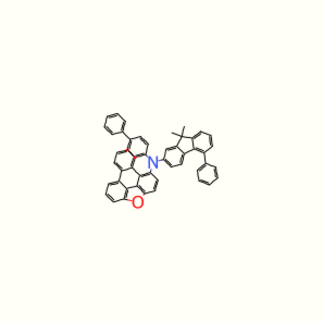 CC1(C)c2cc(N(c3ccc(-c4ccccc4)cc3)c3ccc4oc5cccc6c7ccccc7c3c4c56)ccc2-c2c(-c3ccccc3)cccc21